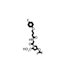 O=C(CCCOc1ccc(F)cc1)NCC(=O)N1CC(OC(F)F)CC1C(=O)O